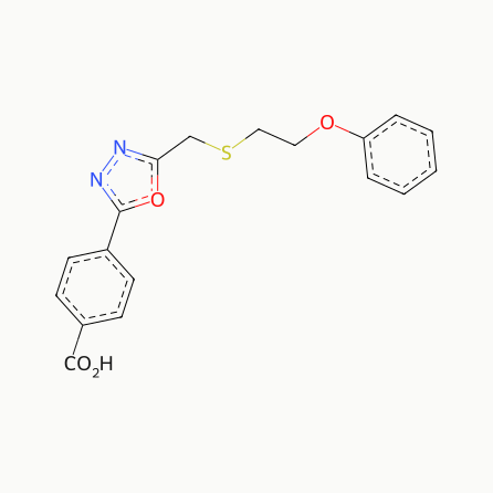 O=C(O)c1ccc(-c2nnc(CSCCOc3ccccc3)o2)cc1